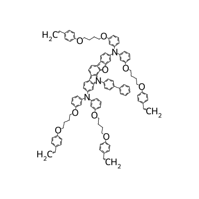 C=Cc1ccc(OCCCCOc2cccc(N(c3cccc(OCCCCOc4ccc(C=C)cc4)c3)c3ccc4c(c3)oc3c4ccc4c5ccc(N(c6cccc(OCCCCOc7ccc(C=C)cc7)c6)c6cccc(OCCCCOc7ccc(C=C)cc7)c6)cc5n(-c5ccc(-c6ccccc6)cc5)c43)c2)cc1